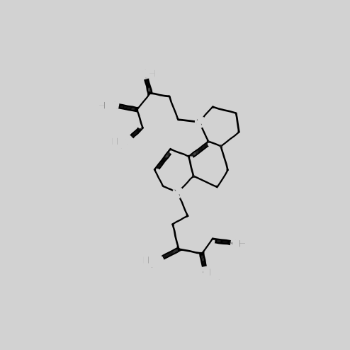 C=CC(=C)C(=C)CCN1CCCC2CCC3C(=C21)C=CCN3CCC(=C)C(=C)C=C